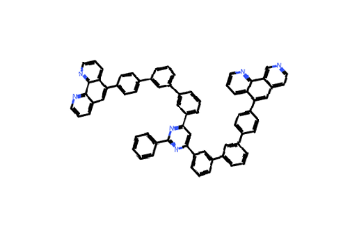 c1ccc(-c2nc(-c3cccc(-c4cccc(-c5ccc(-c6cc7ccncc7c7ncccc67)cc5)c4)c3)cc(-c3cccc(-c4cccc(-c5ccc(-c6cc7cccnc7c7ncccc67)cc5)c4)c3)n2)cc1